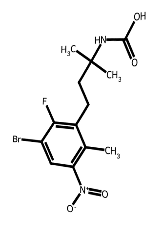 Cc1c([N+](=O)[O-])cc(Br)c(F)c1CCC(C)(C)NC(=O)O